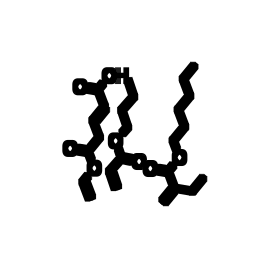 C=C(CC)C(=O)OCCCCCC.C=CC(=O)OCCCC.C=COC(=O)CC=CC(=O)O